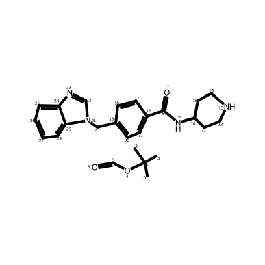 CC(C)(C)OC=O.O=C(NC1CCNCC1)c1ccc(Cn2cnc3ccccc32)cc1